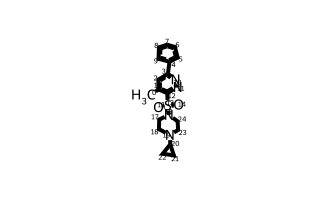 Cc1cc(-c2ccccc2)nnc1S(=O)(=O)N1CCN(C2CC2)CC1